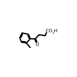 Cc1ccccc1C(=O)CCC(=O)O